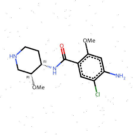 COc1cc(N)c(Cl)cc1C(=O)N[C@H]1CCNC[C@H]1OC